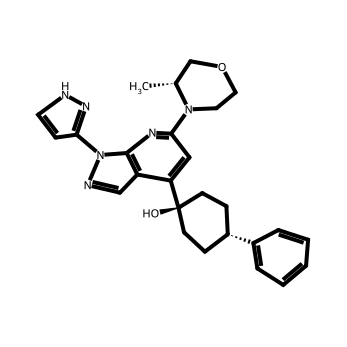 C[C@@H]1COCCN1c1cc([C@]2(O)CC[C@H](c3ccccc3)CC2)c2cnn(-c3cc[nH]n3)c2n1